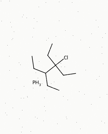 CCC(CC)C(Cl)(CC)CC.P